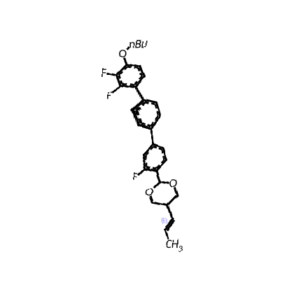 C/C=C/C1COC(c2ccc(-c3ccc(-c4ccc(OCCCC)c(F)c4F)cc3)cc2F)OC1